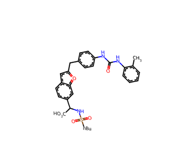 CCCCS(=O)(=O)NC(C(=O)O)c1ccc2cc(Cc3ccc(NC(=O)Nc4ccccc4C)cc3)oc2c1